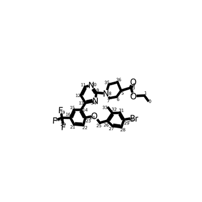 CCOC(=O)C1CCN(c2nccc(-c3cc(C(F)(F)F)ccc3OCc3ccc(Br)cc3C)n2)CC1